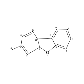 CC1=CC2Oc3ccccc3C2C=C1